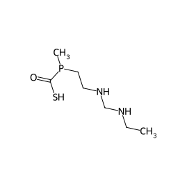 CCNCNCCP(C)C(=O)S